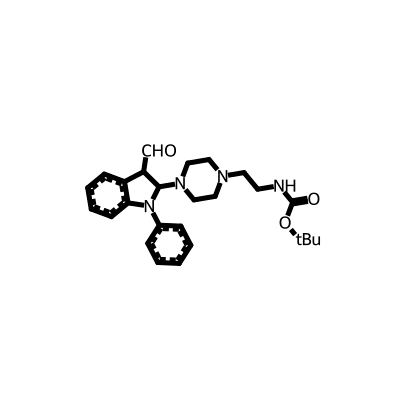 CC(C)(C)OC(=O)NCCN1CCN(C2C(C=O)c3ccccc3N2c2ccccc2)CC1